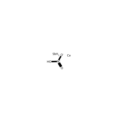 O=[N+]([O-])O.[Ce].[SbH3]